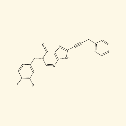 O=c1c2nc(C#CCc3ccccc3)[nH]c2ncn1Cc1ccc(F)c(F)c1